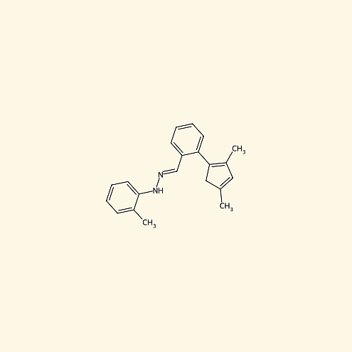 CC1=CC(C)=C(c2ccccc2/C=N/Nc2ccccc2C)C1